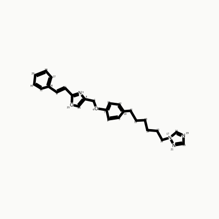 C(=C\c1nc(COc2ccc(CCCCCCn3cncn3)cc2)co1)/c1ccccc1